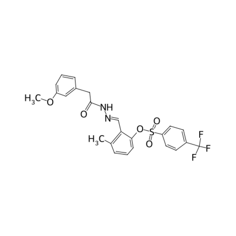 COc1cccc(CC(=O)N/N=C/c2c(C)cccc2OS(=O)(=O)c2ccc(C(F)(F)F)cc2)c1